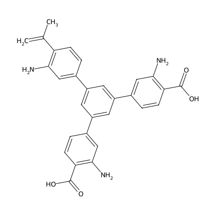 C=C(C)c1ccc(-c2cc(-c3ccc(C(=O)O)c(N)c3)cc(-c3ccc(C(=O)O)c(N)c3)c2)cc1N